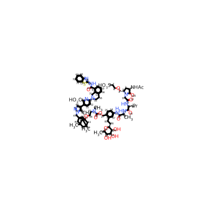 CC(=O)N[C@H]1C[C@@H](COCCS(=O)(=O)O)N(CC(=O)N[C@H](C(=O)N[C@@H](C)C(=O)Nc2ccc(COC(=O)N(C)CCOC34CC5(C)CC(C)(CC(Cn6ncc(-c7ccc(N8CCc9cccc(C(=O)Nc%10nc%11ccccc%11s%10)c9C8)nc7C(=O)O)c6C)(C5)C3)C4)c(CC[C@@H]3O[C@H](C)[C@@H](O)[C@H](O)[C@H]3O)c2)C(C)C)C1=O